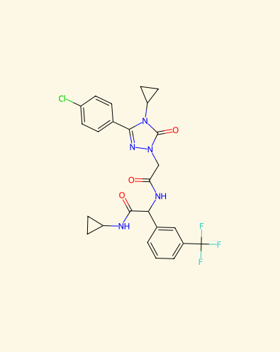 O=C(Cn1nc(-c2ccc(Cl)cc2)n(C2CC2)c1=O)NC(C(=O)NC1CC1)c1cccc(C(F)(F)F)c1